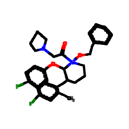 Cc1cc(F)ccc1C1CCC[N+](OCc2ccccc2)(C(=O)CN2CCCC2)C1Oc1ccc(F)cc1